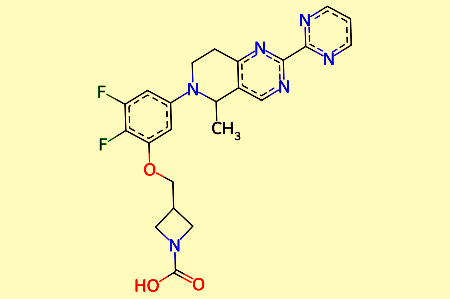 CC1c2cnc(-c3ncccn3)nc2CCN1c1cc(F)c(F)c(OCC2CN(C(=O)O)C2)c1